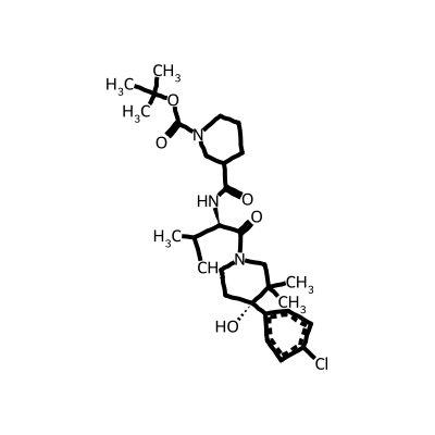 CC(C)[C@@H](NC(=O)C1CCCN(C(=O)OC(C)(C)C)C1)C(=O)N1CC[C@](O)(c2ccc(Cl)cc2)C(C)(C)C1